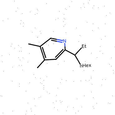 CCCCCCC(CC)c1cc(C)c(C)cn1